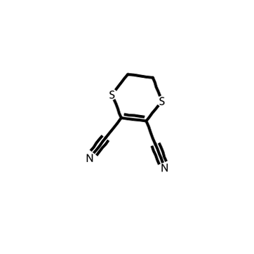 N#CC1=C(C#N)SCCS1